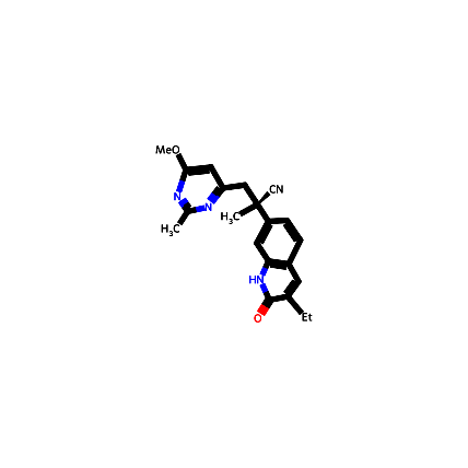 CCc1cc2ccc([C@@](C)(C#N)Cc3cc(OC)nc(C)n3)cc2[nH]c1=O